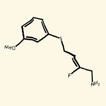 COc1cccc(SCC=C(F)CN)c1